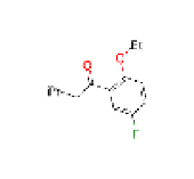 CCOc1ccc(F)cc1C(=O)CC(C)C